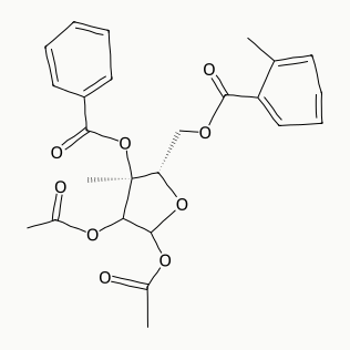 CC(=O)OC1O[C@@H](COC(=O)c2ccccc2C)[C@](C)(OC(=O)c2ccccc2)C1OC(C)=O